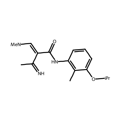 CN/C=C(\C(C)=N)C(=O)Nc1cccc(OC(C)C)c1C